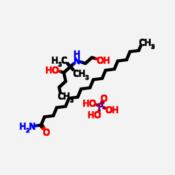 CCCC(O)C(C)(C)NCCO.CCCCCCCCCCCCCCCCCC(N)=O.O=P(O)(O)O